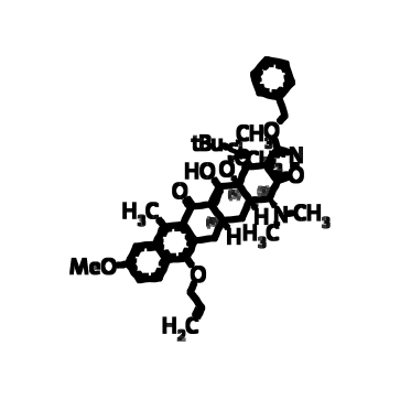 C=CCOc1c2c(c(C)c3cc(OC)ccc13)C(=O)C1=C(O)[C@]3(O[Si](C)(C)C(C)(C)C)C(=O)c4c(OCc5ccccc5)noc4[C@@H](N(C)C)[C@@H]3C[C@@H]1C2